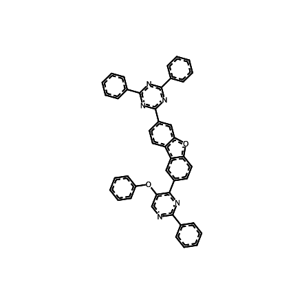 c1ccc(Oc2cnc(-c3ccccc3)nc2-c2ccc3oc4cc(-c5nc(-c6ccccc6)nc(-c6ccccc6)n5)ccc4c3c2)cc1